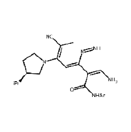 CC(=O)NC(=O)C(=C\N)/C(=C/C(=C(\C)C#N)N1CC[C@H](C(C)C)C1)N=N